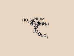 CC(=O)NCC1C(NC(=O)/C(=N\OC(C)(C)C(=O)OCc2ccc([N+](=O)[O-])cc2)c2csc(N)n2)C(=O)N1S(=O)(=O)O.[NaH]